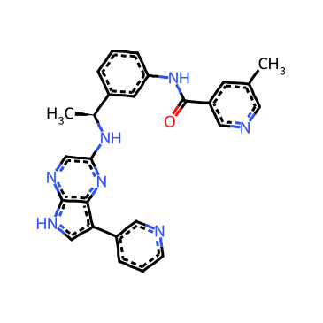 Cc1cncc(C(=O)Nc2cccc([C@H](C)Nc3cnc4[nH]cc(-c5cccnc5)c4n3)c2)c1